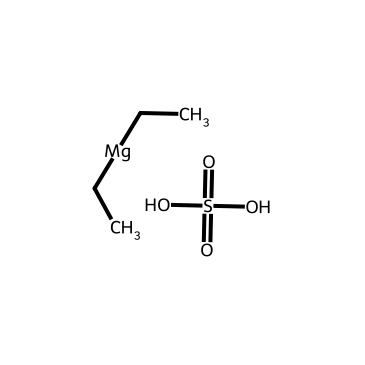 C[CH2][Mg][CH2]C.O=S(=O)(O)O